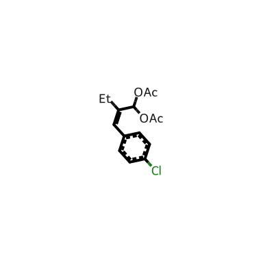 CCC(=Cc1ccc(Cl)cc1)C(OC(C)=O)OC(C)=O